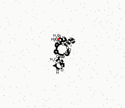 CCn1c(-c2cc(N3CCN4CCOC[C@@H]4C3)cnc2[C@H](C)OC)c2c3cc(ccc31)-c1cccc(c1)C[C@H](NC(=O)C(C(C)C)N1CC[C@]3(CCN(C(=O)[C@@H]4NC4C4CC4)C3)C1)C(=O)N1CCC[C@H](N1)C(=O)OCC(C)(C)C2